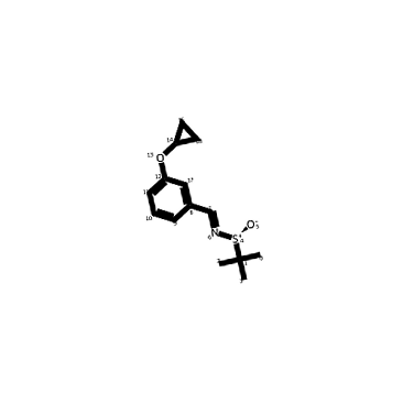 CC(C)(C)[S@@+]([O-])/N=C/c1cccc(OC2CC2)c1